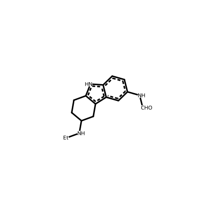 CCNC1CCc2[nH]c3ccc(NC=O)cc3c2C1